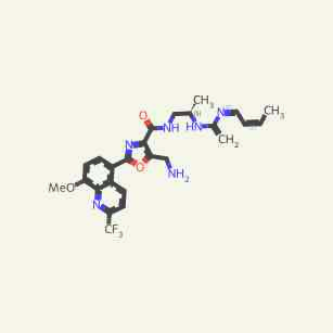 C=C(/N=C\C=C/C)N[C@@H](C)CNC(=O)c1nc(-c2ccc(OC)c3nc(C(F)(F)F)ccc23)oc1CN